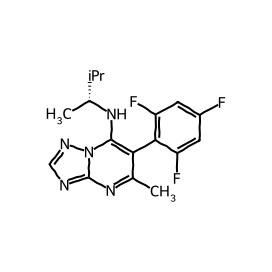 Cc1nc2ncnn2c(N[C@H](C)C(C)C)c1-c1c(F)cc(F)cc1F